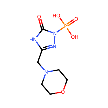 O=c1[nH]c(CN2CCOCC2)nn1P(=O)(O)O